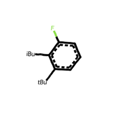 CCC(C)c1c(F)cccc1C(C)(C)C